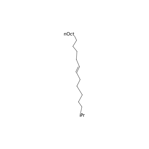 CCCCCCCCCCCC/C=C/CCCCCC(C)C